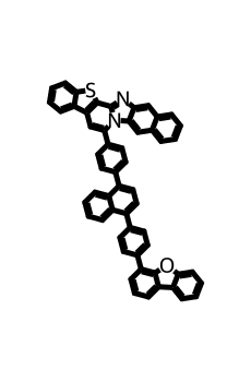 c1ccc2cc3c(cc2c1)nc1c2sc4ccccc4c2cc(-c2ccc(-c4ccc(-c5ccc(-c6cccc7c6oc6ccccc67)cc5)c5ccccc45)cc2)n31